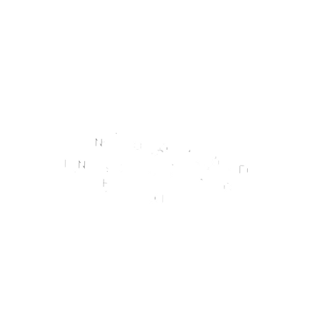 CCC(=O)Oc1ccc2c(C)c(Cc3ccnc(N)c3F)c(=O)oc2c1